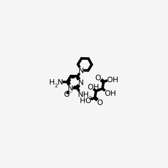 Nc1cc(N2CCCCC2)nc(N)[n+]1[O-].O=C(O)C(O)C(O)C(=O)O